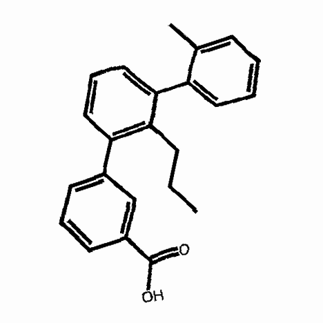 CCCc1c(-c2cccc(C(=O)O)c2)cccc1-c1ccccc1C